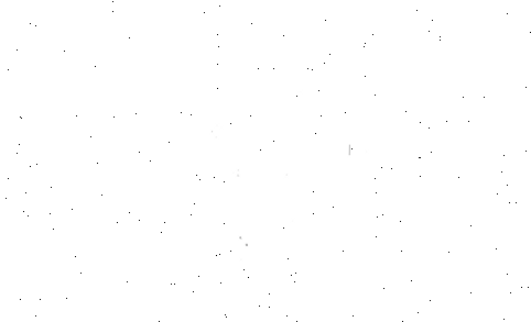 CC1[N][C]=C(C(F)F)C1=O